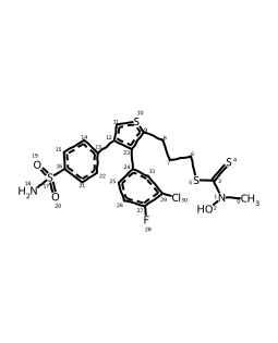 CN(O)C(=S)SCCCc1scc(-c2ccc(S(N)(=O)=O)cc2)c1-c1ccc(F)c(Cl)c1